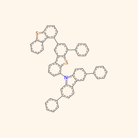 c1ccc(-c2ccc3c(c2)c2ccc(-c4ccccc4)cc2n3-c2cccc3c2sc2c(-c4ccccc4)cc(-c4cccc5sc6ccccc6c45)cc23)cc1